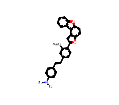 CCN(CC)c1ccc(C=Cc2ccc(-c3cc4c(ccc5oc6ccccc6c54)o3)c(OC)c2)cc1